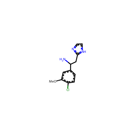 COc1cc(C(N)Cc2ncc[nH]2)ccc1Cl